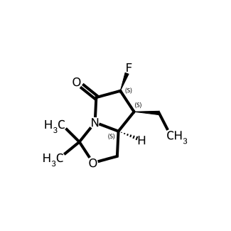 CC[C@@H]1[C@H](F)C(=O)N2[C@@H]1COC2(C)C